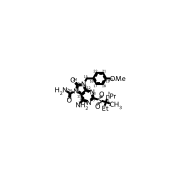 CCCC(C)(CC)S(=O)(=O)c1nc(N)c2c(n1)n(Cc1ccc(OC)cc1)c(=O)n2C(N)=O